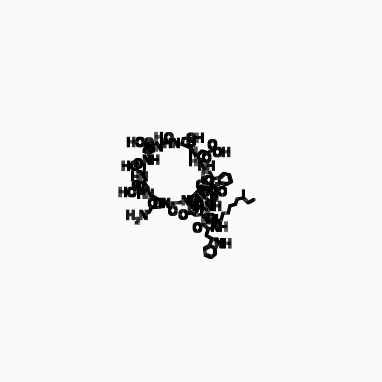 CCC(C)CCCCCCC(=O)NC(Cc1c[nH]c2ccccc12)C(=O)NC(CC(N)=O)C(=O)NC(CC(=O)O)C(=O)NC1C(=O)NCC(=O)NC(CCCN)C(=O)NC(CC(=O)O)C(=O)NC(CO)C(=O)NC(CC(=O)O)C(=O)NCC(=O)NC(CO)C(=O)NC(CCC(=O)O)C(=O)NC(Cc2c[nH]c3ccccc23)C(=O)OC1C